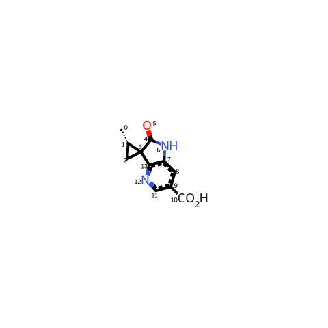 C[C@H]1CC12C(=O)Nc1cc(C(=O)O)cnc12